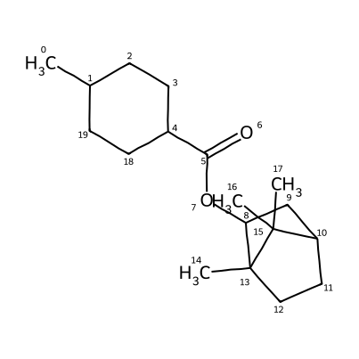 CC1CCC(C(=O)OC2CC3CCC2(C)C3(C)C)CC1